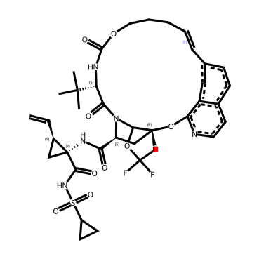 C=C[C@@H]1C[C@]1(NC(=O)[C@@H]1C[C@H]2Oc3nccc4ccc(cc34)/C=C/CCCOC(=O)N[C@@H](C(C)(C)C)C(=O)N1C2OC(F)(F)F)C(=O)NS(=O)(=O)C1CC1